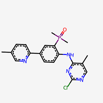 Cc1ccc(-c2ccc(Nc3nc(Cl)ncc3C)c(P(C)(C)=O)c2)nc1